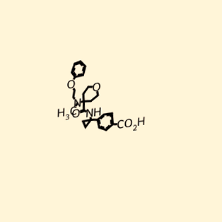 CN(CCOc1ccccc1)C1(C(=O)NC2(c3ccc(C(=O)O)cc3)CC2)CCOCC1